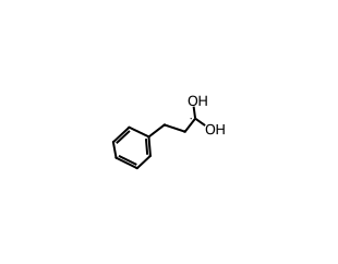 O[C](O)CCc1ccccc1